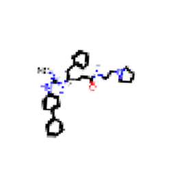 N#C/N=C(\Nc1ccc(-c2ccccc2)cc1)N[C@@H](CCC(=O)NCCN1CCCC1)Cc1ccccc1